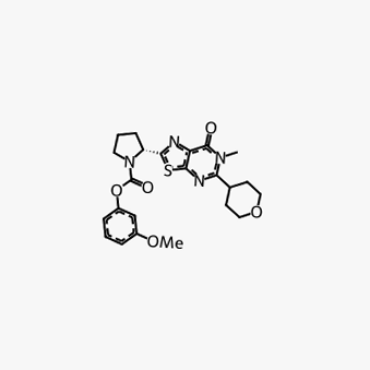 COc1cccc(OC(=O)N2CCC[C@@H]2c2nc3c(=O)n(C)c(C4CCOCC4)nc3s2)c1